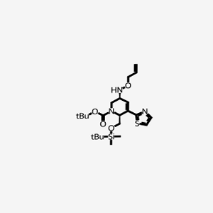 C=CCON[C@H]1C=C(c2nccs2)[C@@H](CO[Si](C)(C)C(C)(C)C)N(C(=O)OC(C)(C)C)C1